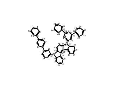 c1ccc(-c2ccc(-c3cccc(-n4c5ccccc5c5c6c7ccccc7n(-c7cc(-c8ccccc8)nc(-c8ccccc8)n7)c6ccc54)c3)cc2)cc1